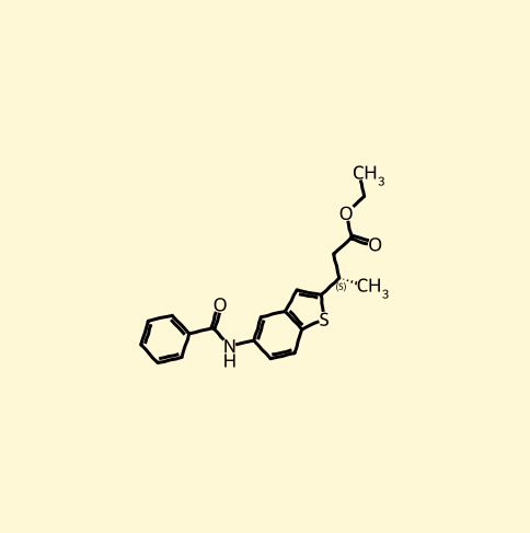 CCOC(=O)C[C@H](C)c1cc2cc(NC(=O)c3ccccc3)ccc2s1